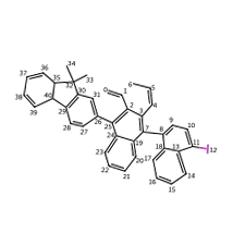 C=Cc1c(/C=C\C)c(-c2ccc(I)c3ccccc23)c2ccccc2c1-c1ccc2c(c1)C(C)(C)C1C=CC=CC21